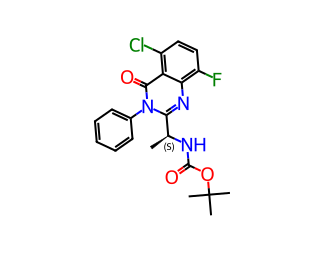 C[C@H](NC(=O)OC(C)(C)C)c1nc2c(F)ccc(Cl)c2c(=O)n1-c1ccccc1